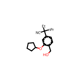 CCCC(C#N)(CC)c1ccc(CO)c(OC2CCCC2)c1